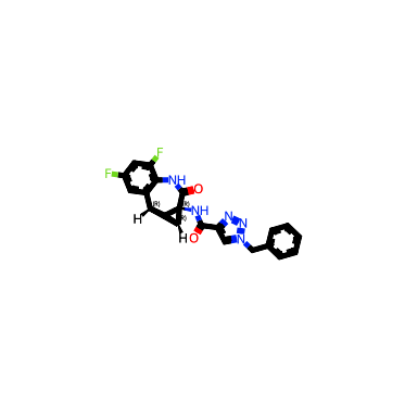 O=C(N[C@]12C(=O)Nc3c(F)cc(F)cc3[C@@H]3C1[C@@H]32)c1cn(Cc2ccccc2)nn1